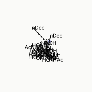 CCCCCCCCCCCCC/C=C/[C@@H](O)[C@H](CO[C@@H]1OC(CO)[C@@H](O[C@@H]2OC(CO)[C@H](O[C@@H]3OC(CO[C@]4(C(=O)O)CC(O)[C@@H](NC(C)=O)C([C@H](O)[C@H](O)CO)O4)[C@H](O)[C@H](O[C@@H]4OC(CO)[C@H](O)[C@H](O)C4O)C3NC(C)=O)[C@H](O[C@]3(C(=O)O)CC(O)[C@@H](NC(C)=O)C([C@H](O)[C@H](O)CO)O3)C2O)[C@H](O)C1O)NC(=O)CCCCCCCCCCCCCCCCCCCCCCCCC